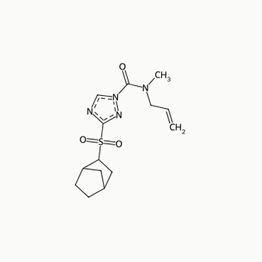 C=CCN(C)C(=O)n1cnc(S(=O)(=O)C2CC3CCC2C3)n1